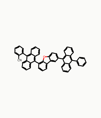 N#Cc1ccccc1-c1c2ccccc2c(-c2cccc3c2oc2ccc(-c4c5ccccc5c(-c5ccccc5)c5ccccc45)cc23)c2ccccc12